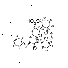 O=C(/C=C/c1ccccc1)Oc1cccc2cccc(-c3ccccc3-c3ccccc3C(=O)O)c12